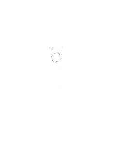 CCCCCCCCOc1ccc(N)c(F)c1